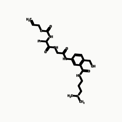 C=CCOC(=O)NC(C(=O)NCC(=O)Nc1ccc(CO)c(C(=O)NCCCN(C)C)c1)C(C)C